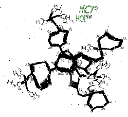 CC1(CC2=Cc3c(-c4ccc(C(C)(C)C)cc4)cccc3[CH]2[Zr]([CH3])([CH3])(=[SiH2])[CH]2C(CC3(C)CCCCC3)=Cc3c(-c4ccc(C(C)(C)C)cc4)cccc32)CCCCC1.Cl.Cl